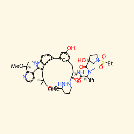 CCS(=O)(=O)N1CC[C@](O)(C(=O)N(C)[C@H](C(=O)N[C@H]2Cc3cc(O)cc(c3)-c3ccc4c(c3)c(c(-c3cccnc3[C@H](C)OC)n4C)CC(C)(C)COCC3(C=O)CCCN(N3)C2=O)C(C)C)C1